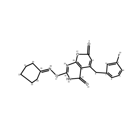 O=c1cc(Cc2cccc(F)c2)c2c(=O)[nH]c(ON=C3CCCCC3)nc2o1